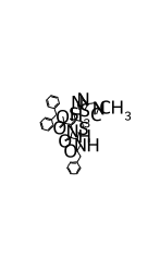 CN(C)Cc1nnc(SC2=C(C(=O)OC(c3ccccc3)c3ccccc3)N3C(=O)[C@@H](NC(=O)Cc4ccccc4)[C@@H]3SC2)s1